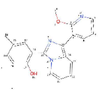 COc1ncccc1-c1nc(-c2cc(C)ccc2O)n2ccccc12